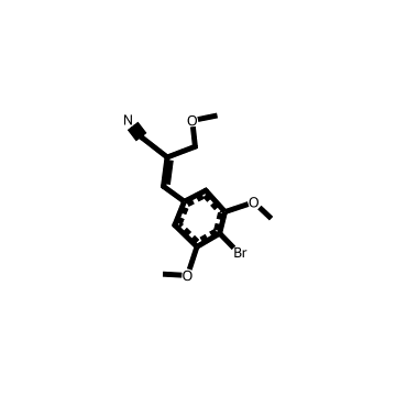 COCC(C#N)=Cc1cc(OC)c(Br)c(OC)c1